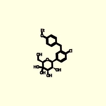 CCOc1ccc(Cc2cc([C@@H]3O[C@H](CO)C(O)(O)[C@H](O)[C@H]3O)ccc2Cl)cc1